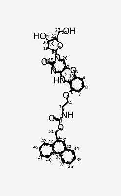 O=C(NCCOc1cccc2c1Nc1nc(=O)n([C@H]3C[C@@H](O)[C@@H](CO)O3)cc1O2)OCc1cc2ccccc2c2ccccc12